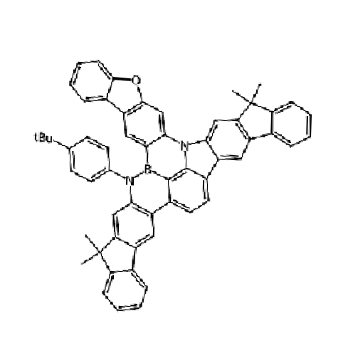 CC(C)(C)c1ccc(N2B3c4cc5c(cc4-n4c6cc7c(cc6c6ccc(c3c64)-c3cc4c(cc32)C(C)(C)c2ccccc2-4)-c2ccccc2C7(C)C)oc2ccccc25)cc1